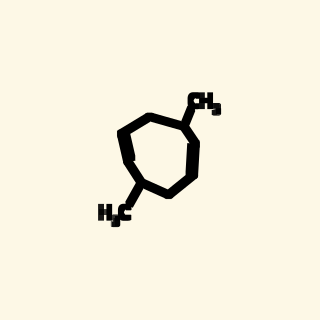 CC1C=CCC(C)C=CC1